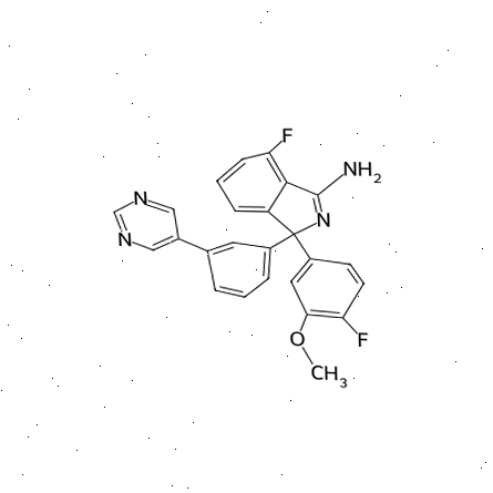 COc1cc(C2(c3cccc(-c4cncnc4)c3)N=C(N)c3c(F)cccc32)ccc1F